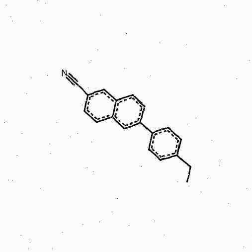 CCc1ccc(-c2ccc3cc(C#N)ccc3c2)cc1